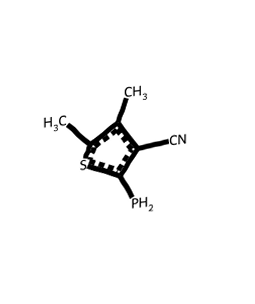 Cc1sc(P)c(C#N)c1C